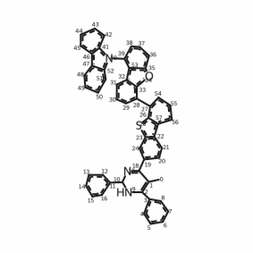 CC1=C(c2ccccc2)NC(c2ccccc2)N=C1c1ccc2c(c1)sc1c(-c3cccc4c3oc3cccc(-n5c6ccccc6c6ccccc65)c34)cccc12